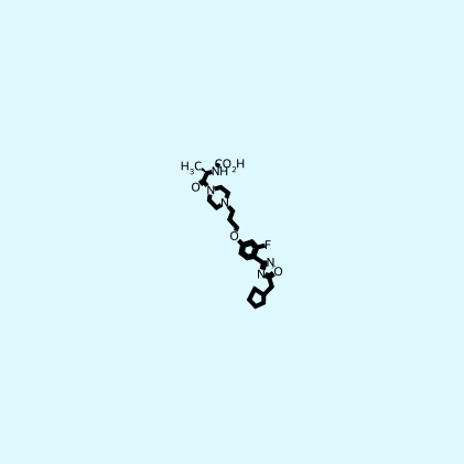 C[C@@H](NC(=O)O)C(=O)N1CCN(CCCOc2ccc(-c3noc(CC4CCCC4)n3)c(F)c2)CC1